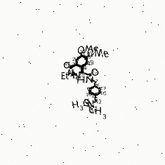 CCn1nc(C(=O)NCc2ccc(CN(C)C)cc2)c2cc(OC)c(OC)cc2c1=O